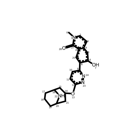 Cn1ccc2cc(O)c(-c3ccc(OC4CC5CCCC(C4)N5)nn3)cc2c1=O